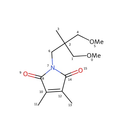 COCC(C)(COC)CN1C(=O)C(C)=C(C)C1=O